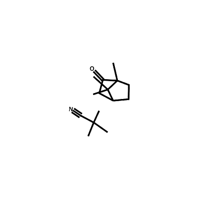 CC(C)(C)C#N.CC12CCC(CC1=O)C2(C)C